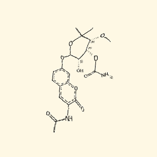 CO[C@@H]1[C@H](OC(N)=O)[C@H](O)C(Oc2ccc3cc(NC(C)=O)c(=O)oc3c2)OC1(C)C